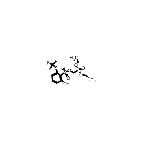 CCOP(=O)(COS(=O)(=O)c1c(C)cccc1SC(F)(F)F)OCC